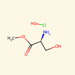 COC(=O)[C@@H](N)CO.OCl